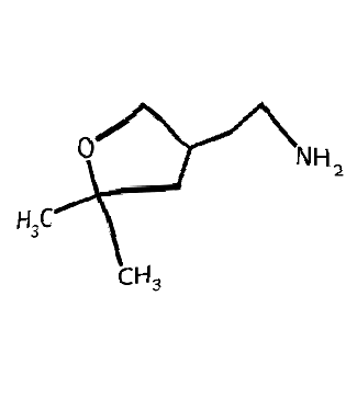 CC1(C)CC(CN)CO1